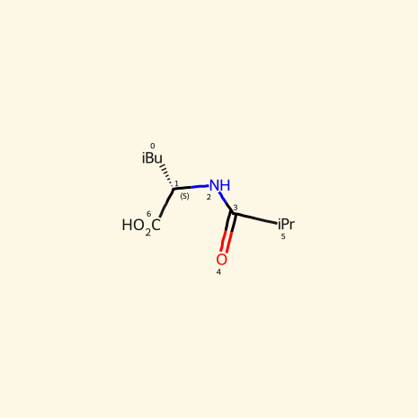 CCC(C)[C@H](NC(=O)C(C)C)C(=O)O